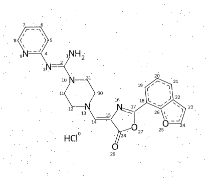 Cl.NC(=Nc1ccccn1)N1CCN(C=C2N=C(c3cccc4ccoc34)OC2=O)CC1